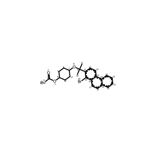 CCC(C)C(=O)OC1CCC(OC(C)(C)c2ccc3c(ccc4ccccc43)c2Br)CC1